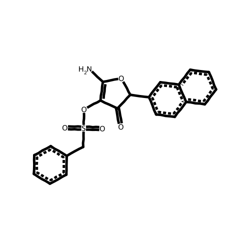 NC1=C(OS(=O)(=O)Cc2ccccc2)C(=O)C(c2ccc3ccccc3c2)O1